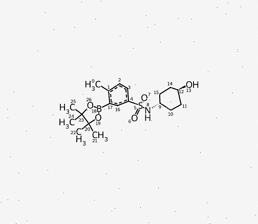 Cc1ccc(S(=O)(=O)N[C@H]2CC[C@H](O)CC2)cc1B1OC(C)(C)C(C)(C)O1